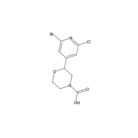 O=C(O)N1CCOC(c2cc(Cl)nc(Br)c2)C1